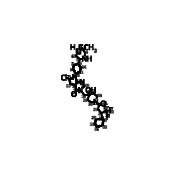 CC1(C)CNC(c2ccc(-n3c(Cl)cc4c(=O)n(CC5(O)CCN(C(=O)CC(c6ccccc6)C(F)(F)F)CC5)cnc43)cc2)CO1